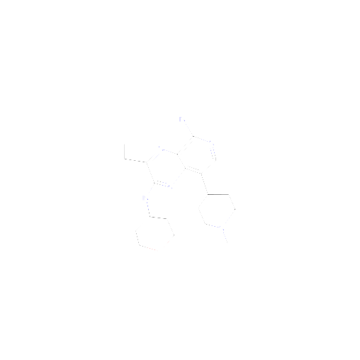 CCc1nc2c(NC)ncc(C3CCN(C)CC3)c2nc1NC1CCOCC1